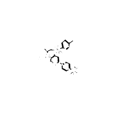 CC(=O)N1c2cnc(-c3ccc(S(C)(=O)=O)cc3)cc2N(S(=O)(=O)c2ccc(C)cc2)CC1C